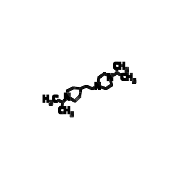 CC(C)N1CCC(CCN2CCN(C(C)C)CC2)CC1